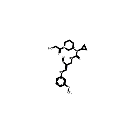 N=N/C(=C\Nc1cccc(OC(F)(F)F)c1)CNC(=O)N(C1CC1)[C@@H]1CCCN(C(=O)CO)C1